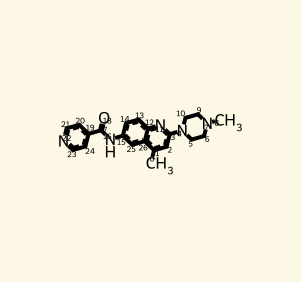 Cc1cc(N2CCN(C)CC2)nc2ccc(NC(=O)c3ccncc3)cc12